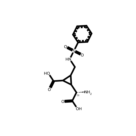 N[C@H](C(=O)O)C1C(CNS(=O)(=O)c2ccccc2)C1C(=O)O